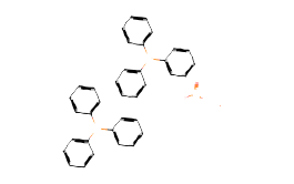 Cl.O=[PH](O)O.c1ccc(P(c2ccccc2)c2ccccc2)cc1.c1ccc(P(c2ccccc2)c2ccccc2)cc1